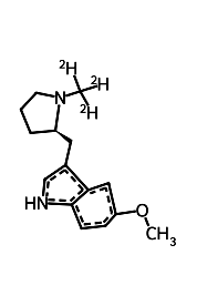 [2H]C([2H])([2H])N1CCC[C@@H]1Cc1c[nH]c2ccc(OC)cc12